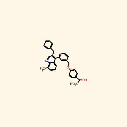 O=C(O)C(O)c1ccc(OCc2cccc(-c3c(Cc4ccccc4)cnc4c(C(F)(F)F)cccc34)c2)cc1